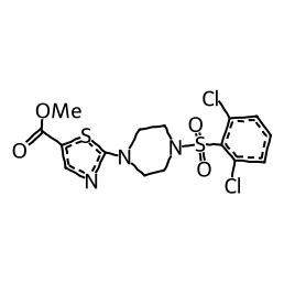 COC(=O)c1cnc(N2CCN(S(=O)(=O)c3c(Cl)cccc3Cl)CC2)s1